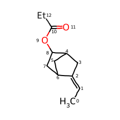 CC=C1CC2CC1CC2OC(=O)CC